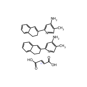 Cc1cnc(C2=Cc3ccccc3CC2)cc1N.Cc1cnc(C2=Cc3ccccc3CC2)cc1N.O=C(O)/C=C/C(=O)O